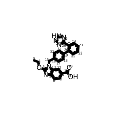 CCOc1nc2ccc(C(=O)O)cc2n1Cc1ccc(-c2ccccc2-c2nn[nH]n2)cc1